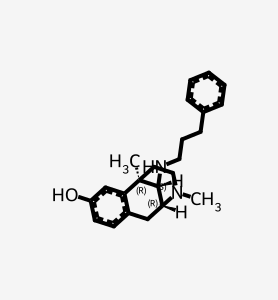 CN1CC[C@]2(C)c3cc(O)ccc3C[C@@H]1[C@H]2NCCCc1ccccc1